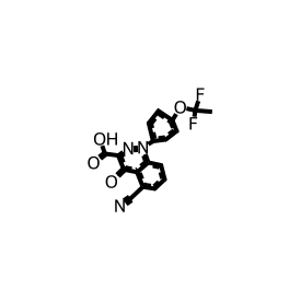 CC(F)(F)Oc1ccc(-n2nc(C(=O)O)c(=O)c3c(C#N)cccc32)cc1